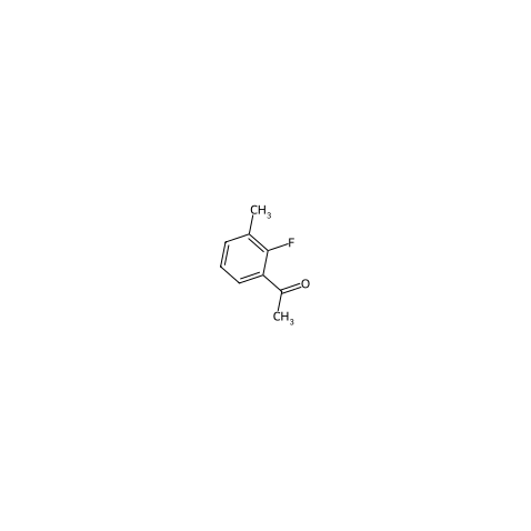 CC(=O)c1cccc(C)c1F